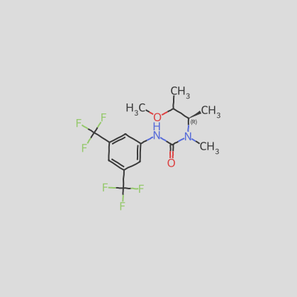 COC(C)[C@@H](C)N(C)C(=O)Nc1cc(C(F)(F)F)cc(C(F)(F)F)c1